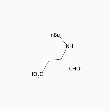 CCCCN[C@H]([C]=O)CC(=O)O